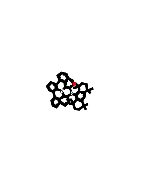 CC1(C)CCC(C)(C)c2c1cc1c(c2B2c3ccc4cccc5c4c3N3c4c-5cccc4-c4cccc5ccc2c3c45)C(C)(C)CCC1(C)C